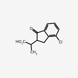 CC(C(=O)O)C1Cc2c(Cl)cccc2C1=O